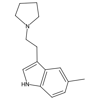 Cc1ccc2[nH]cc(CCN3CCCC3)c2c1